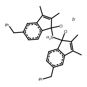 CC1=C(C)C(Cl)([SiH2]C2(Cl)C(C)=C(C)c3cc(CC(C)C)ccc32)c2ccc(CC(C)C)cc21.[Zr]